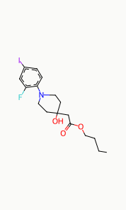 CCCCOC(=O)CC1(O)CCN(c2ccc(I)cc2F)CC1